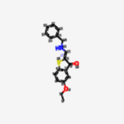 CCOc1ccc2c(c1)C(=O)/C(=C/NCc1ccccc1)S2